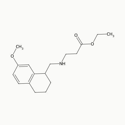 CCOC(=O)CCNCC1CCCc2ccc(OC)cc21